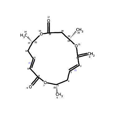 C=C1/C=C/C[C@H](C)OC(=O)/C=C/C[C@H](C)OC(=O)C[C@H](C)O1